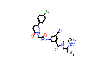 C[C@@H]1CN(C(=O)c2cc(C#N)cc(NC(=O)Cn3nc(-c4ccc(Cl)c(F)c4)ccc3=O)c2)C[C@H](C)N1